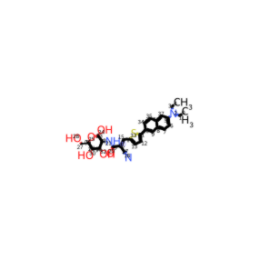 CCN(CC)c1ccc2cc(-c3ccc(/C=C(\C#N)C(=O)N[C@H]4C(O)O[C@H](CO)[C@@H](O)[C@@H]4O)s3)ccc2c1